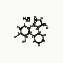 Cc1nccc(-c2ccccc2-c2nncn2C)c1C.N